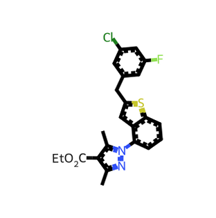 CCOC(=O)c1c(C)nn(-c2cccc3sc(Cc4cc(F)cc(Cl)c4)cc23)c1C